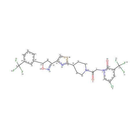 O=C(Cn1cc(Cl)cc(C(F)(F)F)c1=O)N1CCC(c2nc(C3=NOC(c4cccc(C(F)(F)F)c4)C3)cs2)CC1